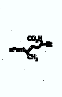 CCCCCC(C)CCC(CC)C(=O)O